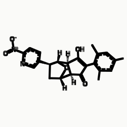 Cc1cc(C)c(C2=C(O)[C@@H]3[C@@H]4O[C@@H](C[C@H]4c4ccc([N+](=O)[O-])nc4)[C@@H]3C2=O)c(C)c1